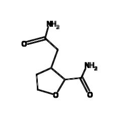 NC(=O)CC1CCOC1C(N)=O